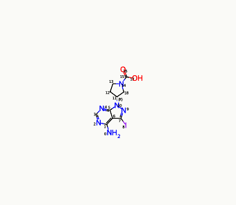 Nc1ncnc2c1c(I)nn2[C@@H]1CCN(C(=O)O)C1